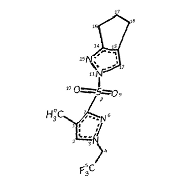 Cc1cn(CC(F)(F)F)nc1S(=O)(=O)n1cc2c(n1)CCC2